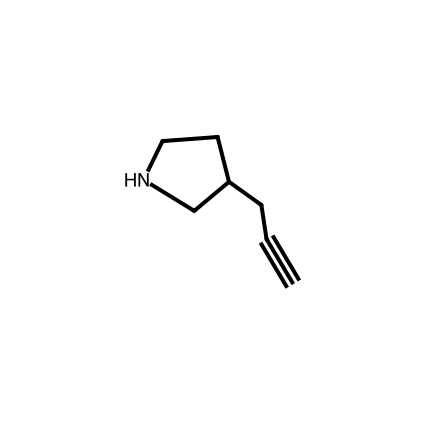 C#CCC1CCNC1